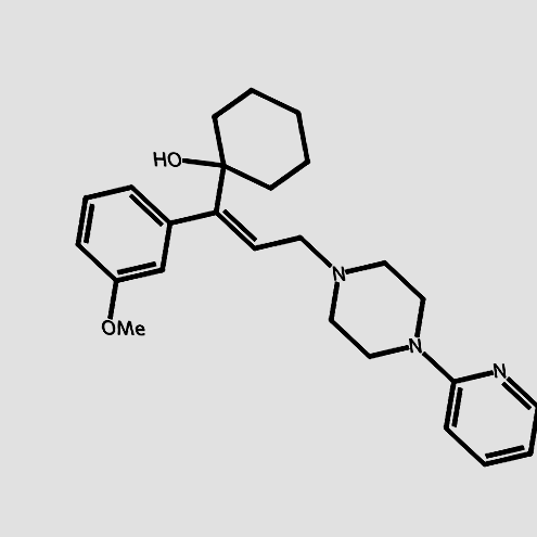 COc1cccc(C(=CCN2CCN(c3ccccn3)CC2)C2(O)CCCCC2)c1